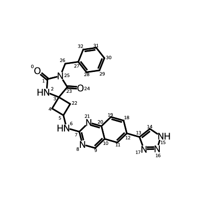 O=C1NC2(CC(Nc3ncc4cc(-c5c[nH]nn5)ccc4n3)C2)C(=O)N1Cc1ccccc1